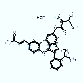 CC(C)c1ccccc1-c1sc2cc(OC(=O)C(N)C(C)C)ccc2c1Oc1ccc(/C=C/C(=O)O)cc1.Cl